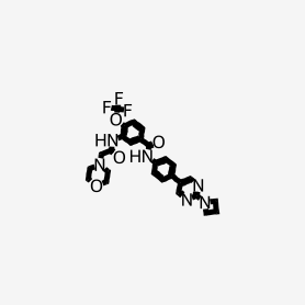 O=C(CN1CCOCC1)Nc1cc(C(=O)Nc2ccc(-c3cnc(N4CCC4)nc3)cc2)ccc1OC(F)(F)F